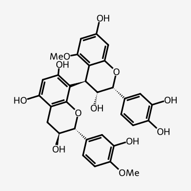 COc1ccc([C@H]2Oc3c(c(O)cc(O)c3[C@H]3c4c(OC)cc(O)cc4O[C@H](c4ccc(O)c(O)c4)[C@@H]3O)C[C@@H]2O)cc1O